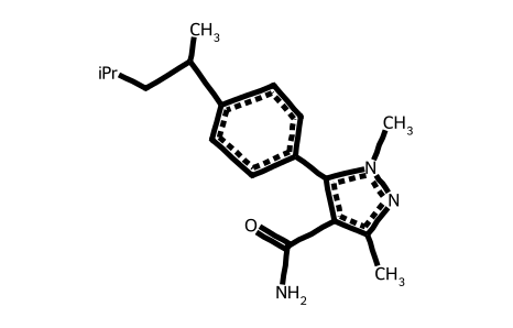 Cc1nn(C)c(-c2ccc(C(C)CC(C)C)cc2)c1C(N)=O